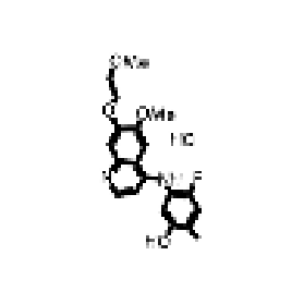 COCCOc1cc2nccc(Nc3cc(O)c(C)cc3F)c2cc1OC.Cl